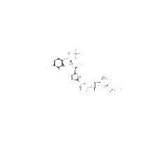 CCCCCCN(C(=O)C(NC(=O)OC(C)(C)C)C(C)CC)C(CC(OC(C)=O)c1nc(C(=O)N[C@@H](Cc2ccc(O)cc2)CC(C)(C)C(=O)O)cs1)C(C)C